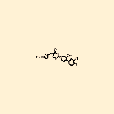 CC(C)(C)c1ccc(Cn2cnc(N3CC=C(c4ccc(F)c(Cl)c4)[C@@H](O)C3)nc2=O)s1